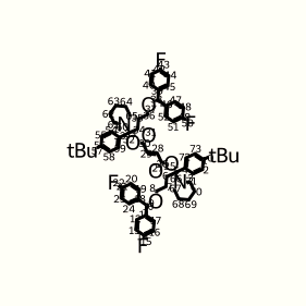 CC(C)(C)c1ccc(C(CCCOC(c2ccc(F)cc2)c2ccc(F)cc2)(OC(=O)/C=C/C(=O)OC(CCCOC(c2ccc(F)cc2)c2ccc(F)cc2)(c2ccc(C(C)(C)C)cc2)N2CCCCC2)N2CCCCC2)cc1